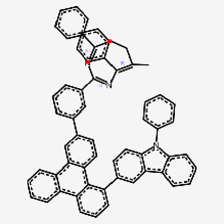 C\C1=C(c2ccccc2)/N=C(c2cccc(-c3ccc4c(c3)c3ccccc3c3cccc(-c5ccc6c(c5)c5ccccc5n6-c5ccccc5)c34)c2)\N=C(\c2ccccc2)CC1